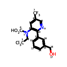 O=C(O)N(CC(Cl)(Cl)Cl)c1cc(C(F)(F)F)cnc1-c1cccc(CO)c1